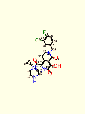 Cn1c(C(=O)[N+]2(C3CC3)CCNCC2)c2c(c(O)c1=O)C(=O)N(Cc1ccc(F)c(Cl)c1)CC2